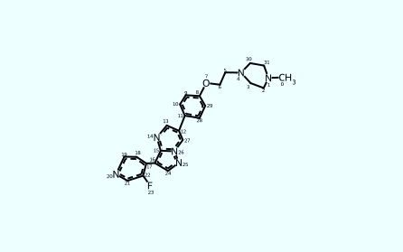 CN1CCN(CCOc2ccc(-c3cnc4c(-c5ccncc5F)cnn4c3)cc2)CC1